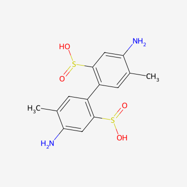 Cc1cc(-c2cc(C)c(N)cc2S(=O)O)c(S(=O)O)cc1N